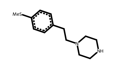 CSc1ccc(CCN2CCNCC2)cc1